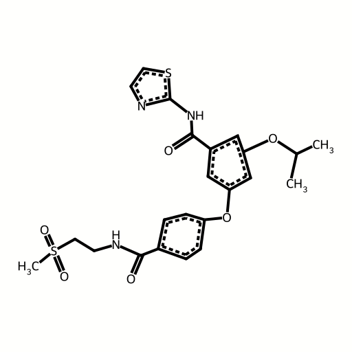 CC(C)Oc1cc(Oc2ccc(C(=O)NCCS(C)(=O)=O)cc2)cc(C(=O)Nc2nccs2)c1